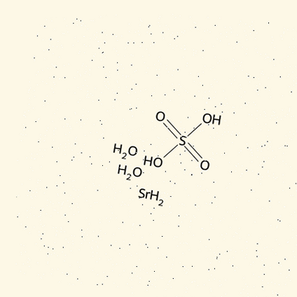 O.O.O=S(=O)(O)O.[SrH2]